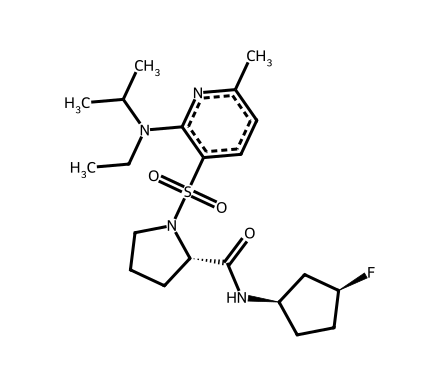 CCN(c1nc(C)ccc1S(=O)(=O)N1CCC[C@H]1C(=O)N[C@@H]1CC[C@H](F)C1)C(C)C